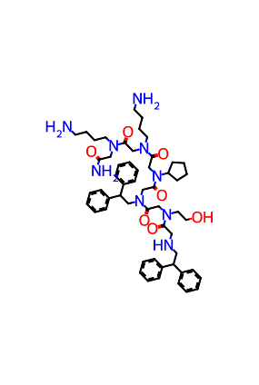 NCCCCN(CC(N)=O)C(=O)CN(CCCCN)C(=O)CN(C(=O)CN(CC(c1ccccc1)c1ccccc1)C(=O)CN(CCO)C(=O)CNCC(c1ccccc1)c1ccccc1)C1CCCC1